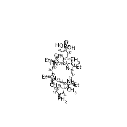 CCC1=C(C)c2nc1cc1[nH]c(c(C)c1CC)c(-c1ccc(P)cc1)c1nc(cc3[nH]c(c(C)c3CC)c2-c2ccc(P(=O)(O)O)cc2)C(CC)=C1C